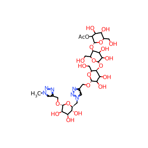 CC(=O)OC1C(O)[C@H](O)C(CO)O[C@@H]1O[C@@H]1C(CO)O[C@H](O[C@@H]2C(CO)O[C@@H](OCc3cn(C[C@@H]4O[C@@H](OCc5cn(C)nn5)[C@H](O)[C@H](O)[C@H]4O)nn3)C(O)C2O)C(O)C1O